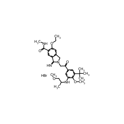 Br.CCOc1cc2c(cc1C(=O)NC)C(=N)N(CC(=O)c1cc(NC(C)COC)c(OC)c(C(C)(C)C)c1)C2